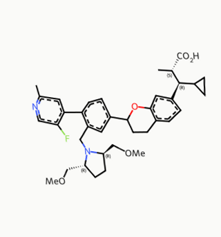 COC[C@H]1CC[C@H](COC)N1Cc1cc(C2CCc3ccc([C@H](C4CC4)[C@H](C)C(=O)O)cc3O2)ccc1-c1cc(C)ncc1F